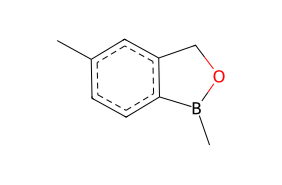 CB1OCc2cc(C)ccc21